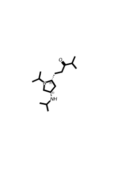 CC(C)N[C@H]1C[C@@H](CCC(=O)C(C)C)N(C(C)C)C1